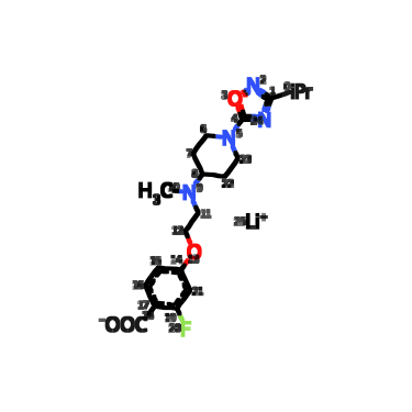 CC(C)c1noc(N2CCC(N(C)CCOc3ccc(C(=O)[O-])c(F)c3)CC2)n1.[Li+]